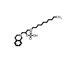 CCCCCCCCCCOCC(CN1CCc2ccccc2C1)OS(=O)(=O)O